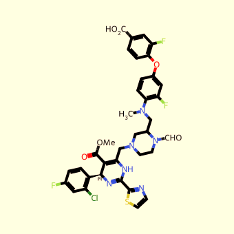 COC(=O)C1=C(CN2CCN(C=O)C(CN(C)c3ccc(Oc4ccc(C(=O)O)cc4F)cc3F)C2)NC(c2nccs2)=N[C@H]1c1ccc(F)cc1Cl